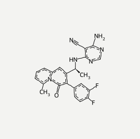 Cc1cccc2cc([C@H](C)Nc3ncnc(N)c3C#N)c(-c3ccc(F)c(F)c3)c(=O)n12